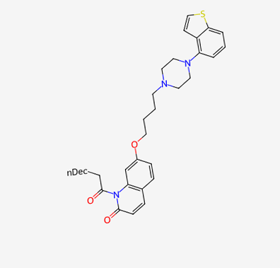 CCCCCCCCCCCC(=O)n1c(=O)ccc2ccc(OCCCCN3CCN(c4cccc5sccc45)CC3)cc21